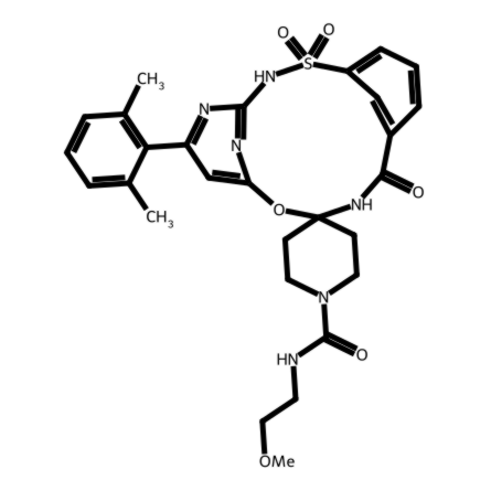 COCCNC(=O)N1CCC2(CC1)NC(=O)c1cccc(c1)S(=O)(=O)Nc1nc(cc(-c3c(C)cccc3C)n1)O2